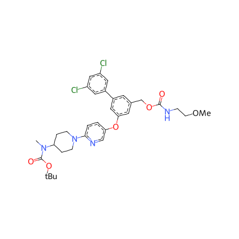 COCCNC(=O)OCc1cc(Oc2ccc(N3CCC(N(C)C(=O)OC(C)(C)C)CC3)nc2)cc(-c2cc(Cl)cc(Cl)c2)c1